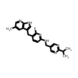 Cc1cnc2[nH]cc(Cc3ccc(NCc4cnc(C(C)C)nc4)nc3F)c2c1